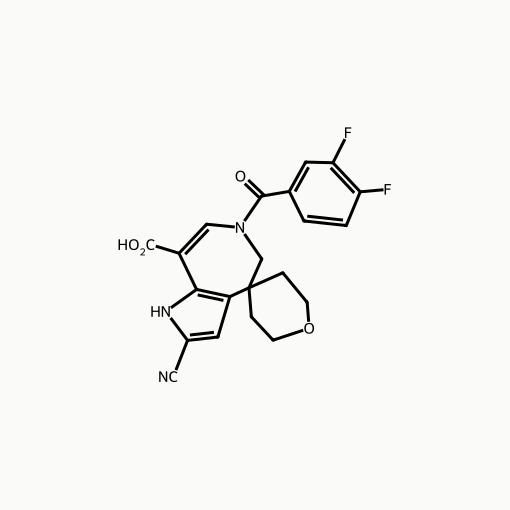 N#Cc1cc2c([nH]1)C(C(=O)O)=CN(C(=O)c1ccc(F)c(F)c1)CC21CCOCC1